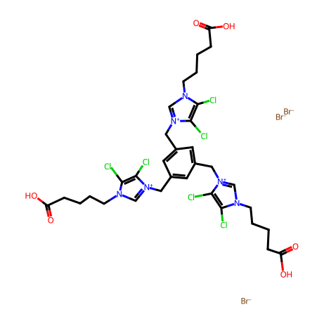 O=C(O)CCCCn1c[n+](Cc2cc(C[n+]3cn(CCCCC(=O)O)c(Cl)c3Cl)cc(C[n+]3cn(CCCCC(=O)O)c(Cl)c3Cl)c2)c(Cl)c1Cl.[Br-].[Br-].[Br-]